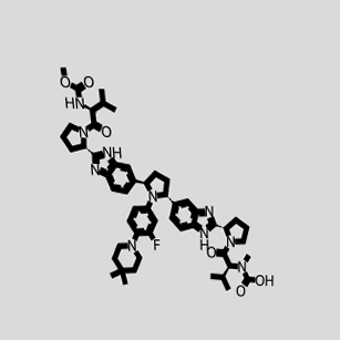 COC(=O)N[C@H](C(=O)N1CCC[C@H]1c1nc2ccc([C@H]3CC[C@H](c4ccc5[nH]c([C@@H]6CCCN6C(=O)[C@H](C(C)C)N(C)C(=O)O)nc5c4)N3c3ccc(N4CCC(C)(C)CC4)c(F)c3)cc2[nH]1)C(C)C